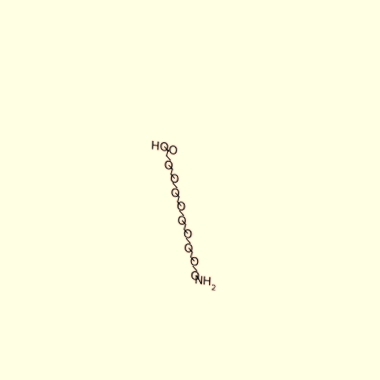 NOCCOCCOCCOCCOCCOCCOCCOCCOCCC(=O)O